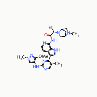 CCC(C(=O)Nc1nccc2c(-c3nc(Nc4cn(C)nc4OC)ncc3C)c[nH]c12)N1CC2CC1CN2C